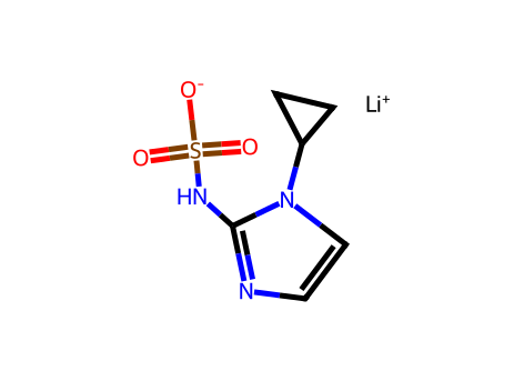 O=S(=O)([O-])Nc1nccn1C1CC1.[Li+]